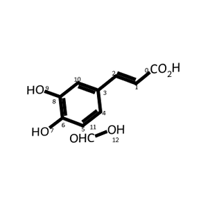 O=C(O)C=Cc1ccc(O)c(O)c1.O=CO